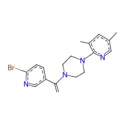 C=C(c1ccc(Br)nc1)N1CCN(c2ncc(C)cc2C)CC1